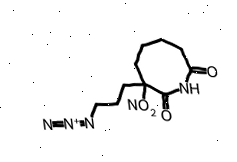 [N-]=[N+]=NCCCC1([N+](=O)[O-])CCCCC(=O)NC1=O